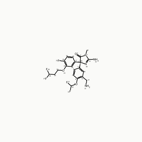 CN1C(=O)[C@@](c2ccc(OC(F)F)c(CN)c2)(c2ccc(F)c(OCCC(F)F)c2)N=C1N